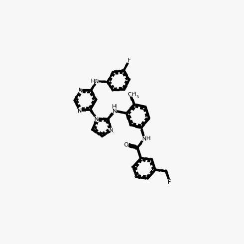 Cc1ccc(NC(=O)c2cccc(CF)c2)cc1Nc1nccn1-c1cc(Nc2cccc(F)c2)ncn1